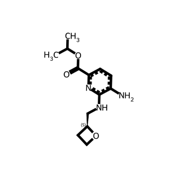 CC(C)OC(=O)c1ccc(N)c(NC[C@@H]2CCO2)n1